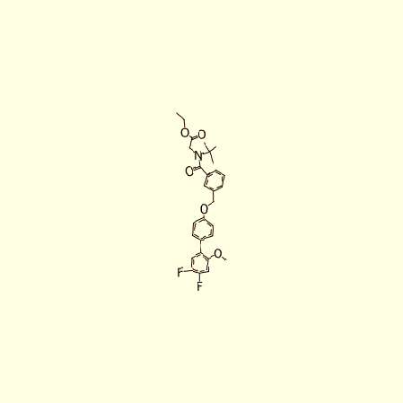 CCOC(=O)CN(C(=O)c1cccc(COc2ccc(-c3cc(F)c(F)cc3OC)cc2)c1)C(C)(C)C